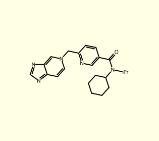 CC(C)N(C(=O)c1ccc(Cn2ccc3ncnc-3c2)nc1)C1CCCCC1